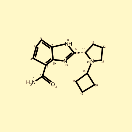 NC(=O)c1cccc2[nH]c([C@@H]3CCCN3C3CCC3)nc12